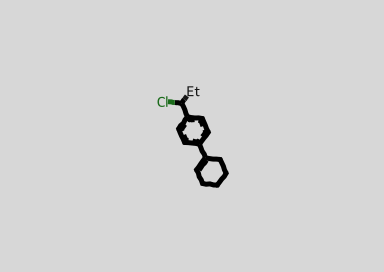 CCC(Cl)c1ccc(C2=CCCCC2)cc1